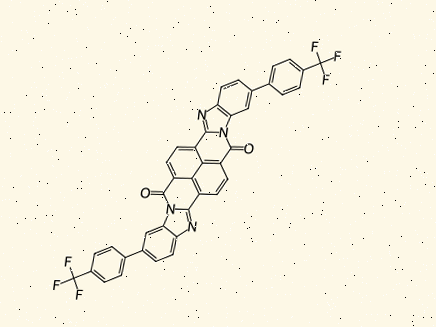 O=c1c2ccc3c4c(ccc(c24)c2nc4ccc(-c5ccc(C(F)(F)F)cc5)cc4n12)c(=O)n1c2cc(-c4ccc(C(F)(F)F)cc4)ccc2nc31